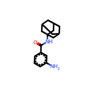 Nc1cccc(C(=O)NC23CC4CC(CC(C4)C2)C3)c1